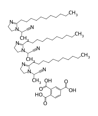 CCCCCCCCCCCC1=NCCN1C(C)C#N.CCCCCCCCCCCC1=NCCN1C(C)C#N.CCCCCCCCCCCC1=NCCN1C(C)C#N.O=C(O)c1ccc(C(=O)O)c(C(=O)O)c1